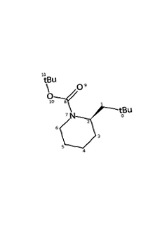 CC(C)(C)C[C@H]1CCCCN1C(=O)OC(C)(C)C